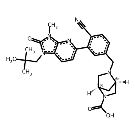 Cn1c(=O)n(CC(C)(C)C)c2ccc(-c3cc(CN4C[C@H]5C[C@@H]4CN5C(=O)O)ccc3C#N)nc21